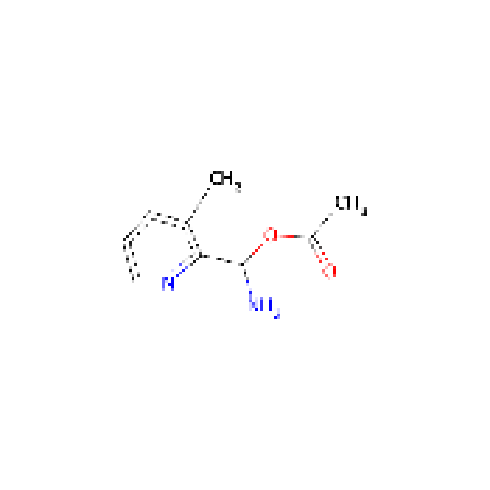 CC(=O)OC(N)c1ncccc1C